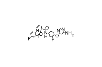 Nc1cc(Oc2ccc(NC(=O)c3cccn(-c4ccc(F)cc4F)c3=O)cc2F)ncn1